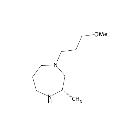 COCCCN1CCCN[C@@H](C)C1